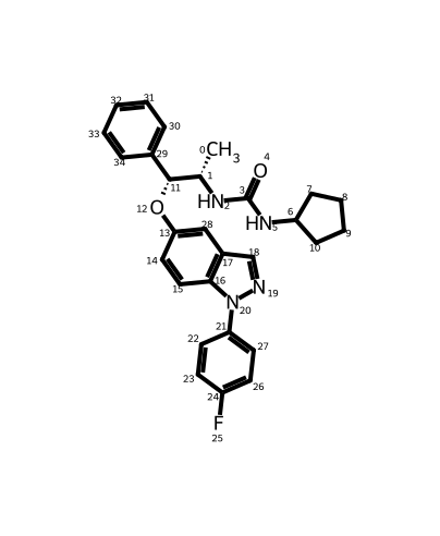 C[C@H](NC(=O)NC1CCCC1)[C@H](Oc1ccc2c(cnn2-c2ccc(F)cc2)c1)c1ccccc1